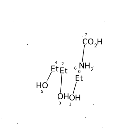 CCO.CCO.CCO.NC(=O)O